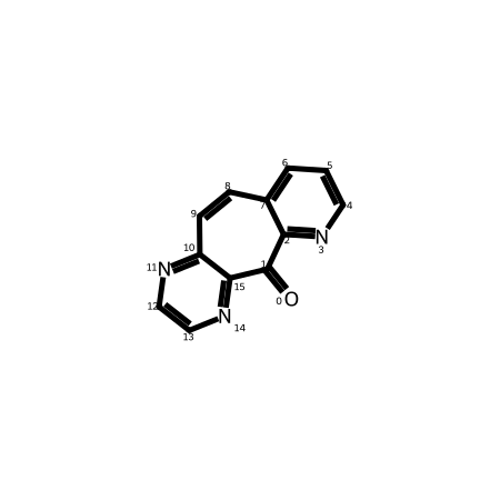 O=c1c2ncccc2ccc2nccnc12